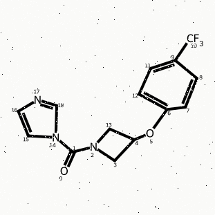 O=C(N1CC(Oc2ccc(C(F)(F)F)cc2)C1)n1ccnc1